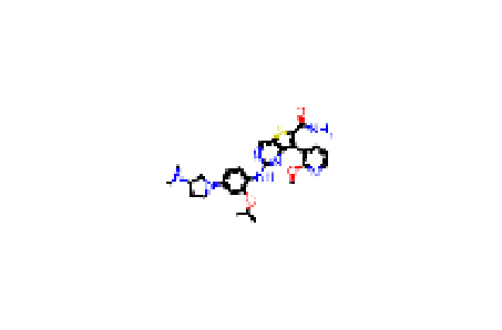 COc1ncccc1-c1c(C(N)=O)sc2cnc(Nc3ccc(N4CCC(N(C)C)C4)cc3OC(C)C)nc12